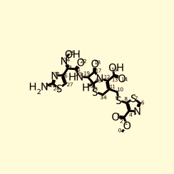 COC(=O)c1ncsc1SCC1=C(C(=O)O)N2C(=O)C(NC(=O)/C(=N\O)c3csc(N)n3)[C@H]2SC1